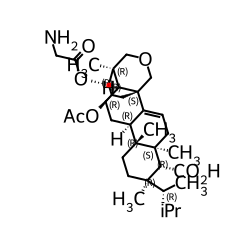 CC(=O)O[C@@H]1C[C@]23COC[C@@](C)([C@@H]2CC[C@H]2C3=CC[C@@]3(C)[C@H](C(=O)O)[C@@](C)([C@H](C)C(C)C)CC[C@]23C)[C@H]1OC(=O)CN